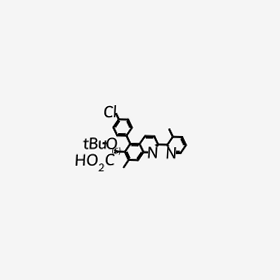 Cc1cc2nc(C3N=CC=CC3C)ccc2c(-c2ccc(Cl)cc2)c1[C@H](OC(C)(C)C)C(=O)O